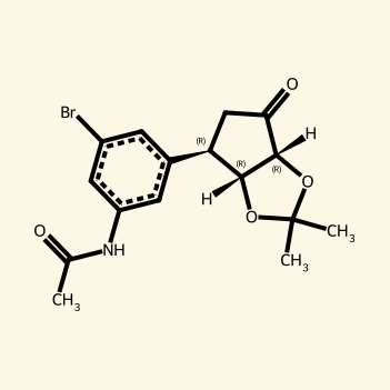 CC(=O)Nc1cc(Br)cc([C@H]2CC(=O)[C@@H]3OC(C)(C)O[C@H]23)c1